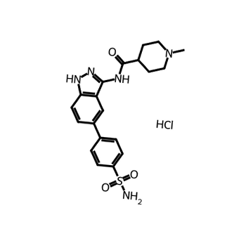 CN1CCC(C(=O)Nc2n[nH]c3ccc(-c4ccc(S(N)(=O)=O)cc4)cc23)CC1.Cl